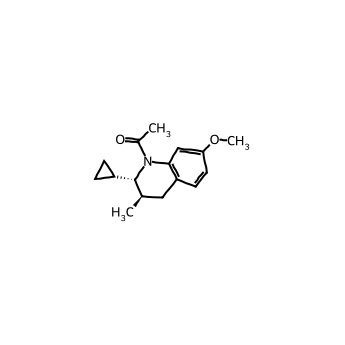 COc1ccc2c(c1)N(C(C)=O)[C@@H](C1CC1)[C@H](C)C2